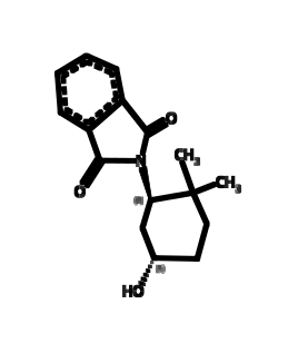 CC1(C)CC[C@H](O)C[C@H]1N1C(=O)c2ccccc2C1=O